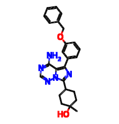 CC1(O)CCC(c2nc(-c3cccc(OCc4ccccc4)c3)c3c(N)ncnn23)CC1